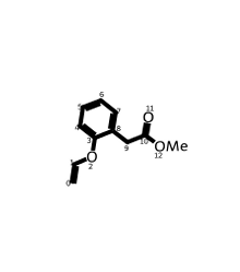 C=COc1ccccc1CC(=O)OC